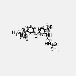 CC(=O)NCCNc1nc(Nc2cccc(S(=O)(=O)N(C)C)c2)ncc1C(F)(F)F